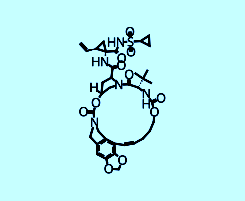 C=C[C@H]1C[C@@]1(NC(=O)C1C[C@@H]2CN1C(=O)[C@H](C(C)(C)C)NC(=O)OCCC/C=C\c1c3c(cc4c1OCO4)CN(C3)C(=O)O2)C(=O)NS(=O)(=O)C1CC1